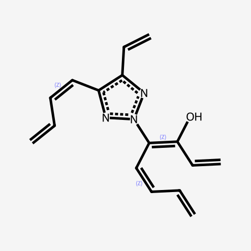 C=C/C=C\C(=C(\O)C=C)n1nc(C=C)c(/C=C\C=C)n1